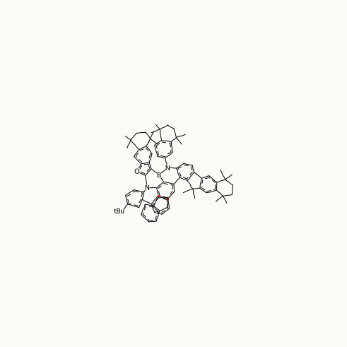 CC(C)(C)c1ccc(N2c3oc4cc5c(cc4c3B3c4c(cc6c(c42)-c2ccccc2C6)-c2c(ccc4c2C(C)(C)c2cc6c(cc2-4)C(C)(C)CCC6(C)C)N3c2ccc3c(c2)C(C)(C)CCC3(C)C)C(C)(C)CCC5(C)C)c(-c2ccccc2)c1